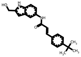 CC(C)(C)c1ccc(C=CC(=O)Nc2ccc3[nH]c(CO)cc3c2)cc1